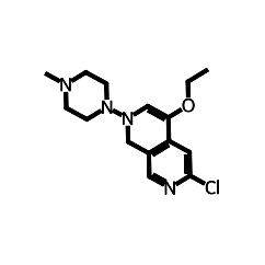 CCOC1=CN(N2CCN(C)CC2)Cc2cnc(Cl)cc21